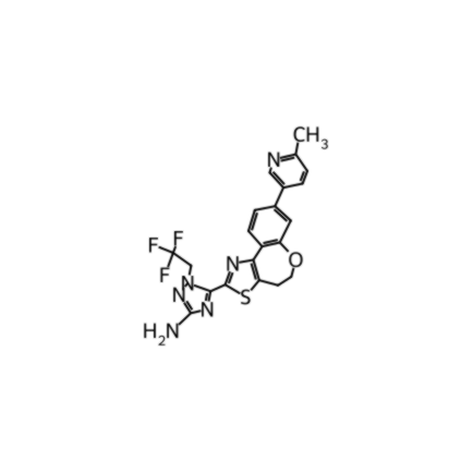 Cc1ccc(-c2ccc3c(c2)OCCc2sc(-c4nc(N)nn4CC(F)(F)F)nc2-3)cn1